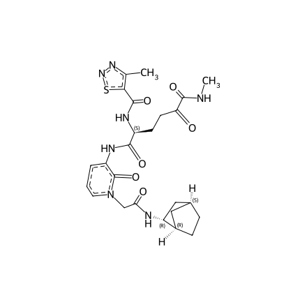 CNC(=O)C(=O)CC[C@H](NC(=O)c1snnc1C)C(=O)Nc1cccn(CC(=O)N[C@@H]2C[C@H]3CC[C@@H]2C3)c1=O